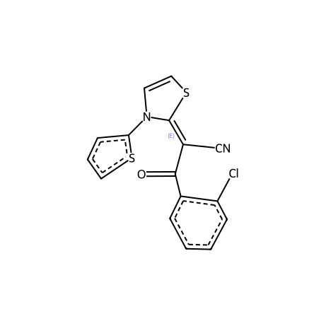 N#C/C(C(=O)c1ccccc1Cl)=C1\SC=CN1c1cccs1